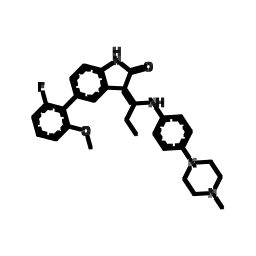 CC/C(Nc1ccc(N2CCN(C)CC2)cc1)=C1/C(=O)Nc2ccc(-c3c(F)cccc3OC)cc21